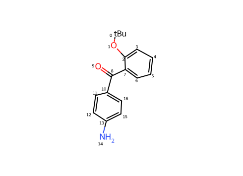 CC(C)(C)Oc1ccccc1C(=O)c1ccc(N)cc1